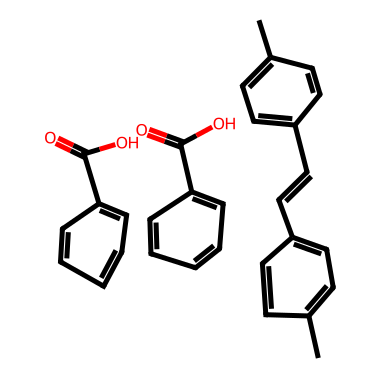 Cc1ccc(C=Cc2ccc(C)cc2)cc1.O=C(O)c1ccccc1.O=C(O)c1ccccc1